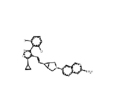 O=C(O)c1cc2ccc(N3CC4C(C=Cc5c(-c6c(Cl)cncc6Cl)noc5C5CC5)C4C3)cc2cn1